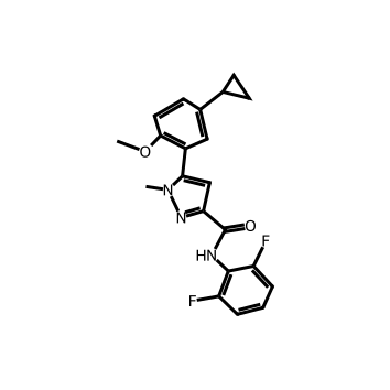 COc1ccc(C2CC2)cc1-c1cc(C(=O)Nc2c(F)cccc2F)nn1C